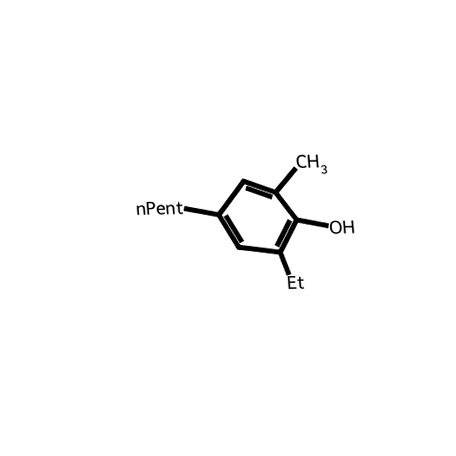 CCCCCc1cc(C)c(O)c(CC)c1